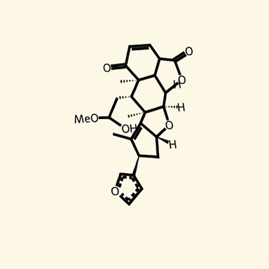 COC(O)C[C@H]1[C@]2(C)C3=C(C)[C@H](c4ccoc4)C[C@H]3O[C@@H]2[C@@H]2OC(=O)C3C=CC(=O)[C@@]1(C)C32